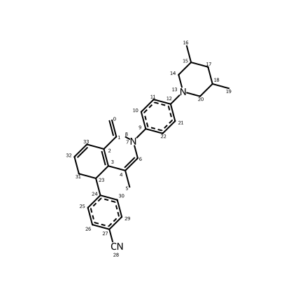 C=CC1=C(/C(C)=C\N(C)c2ccc(N3CC(C)CC(C)C3)cc2)C(c2ccc(C#N)cc2)CC=C1